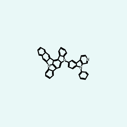 c1ccc(-n2c3ccc(-n4c5ccccc5c5c6c7cc8ccccc8cc7n7c8ccccc8c(cc54)c67)cc3c3ccncc32)cc1